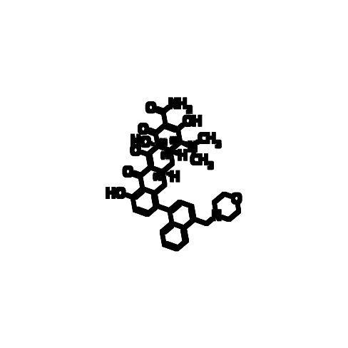 CN(C)[C@@H]1C(O)=C(C(N)=O)C(=O)[C@]2(O)C(O)=C3C(=O)c4c(O)ccc(-c5ccc(CN6CCOCC6)c6ccccc56)c4C[C@@H]3C[C@@H]12